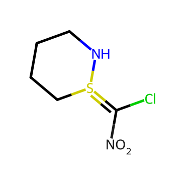 O=[N+]([O-])C(Cl)=S1CCCCN1